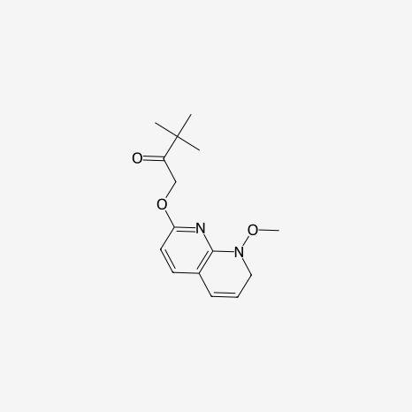 CON1CC=Cc2ccc(OCC(=O)C(C)(C)C)nc21